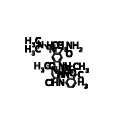 C=C(C(N)=O)c1cc(Nc2ncc(Cl)c(Nc3cccc(CC)c3NS(=O)(=O)CC)n2)c(OC)cc1N(C)CCN(C)C